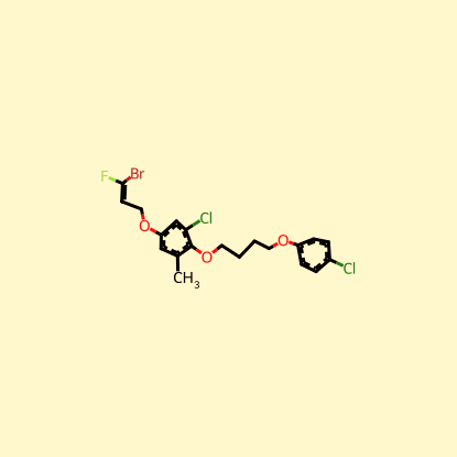 Cc1cc(OC/C=C(/F)Br)cc(Cl)c1OCCCCOc1ccc(Cl)cc1